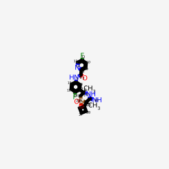 C[C@@]1(c2cc(NC(=O)c3ccc(F)cn3)ccc2F)CS(=O)(=O)[C@@](C)(C2CCC2)C(=N)N1